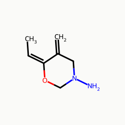 C=C1CN(N)CO/C1=C/C